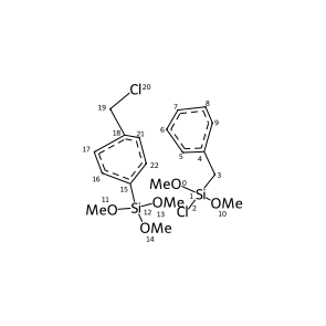 CO[Si](Cl)(Cc1ccccc1)OC.CO[Si](OC)(OC)c1ccc(CCl)cc1